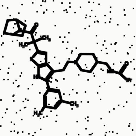 Cc1cc(C)cc(-c2[nH]c3sc(C(C)(C)C(=O)N4C5CCC4CC5)cc3c2CCN2CCC(CNC(=O)C(C)C)CC2)c1